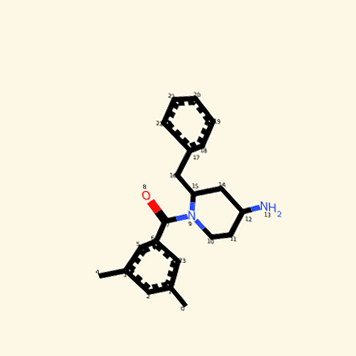 Cc1cc(C)cc(C(=O)N2CCC(N)CC2Cc2ccccc2)c1